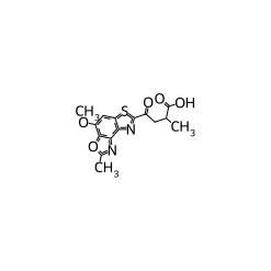 COc1cc2sc(C(=O)CC(C)C(=O)O)nc2c2nc(C)oc12